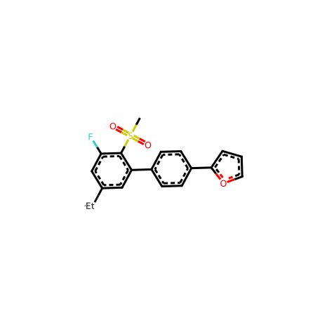 C[CH]c1cc(F)c(S(C)(=O)=O)c(-c2ccc(-c3ccco3)cc2)c1